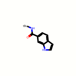 CC(C)(C)NC(=O)c1ccc2cc[nH]c2c1